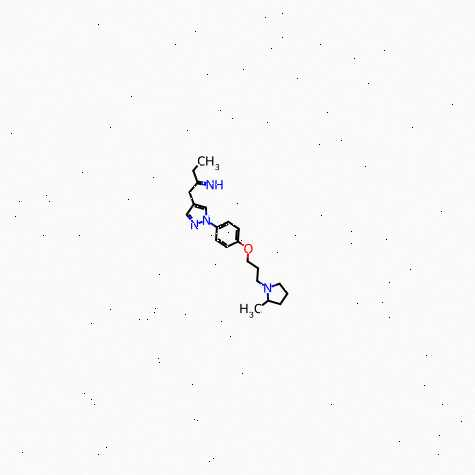 CCC(=N)Cc1cnn(-c2ccc(OCCCN3CCCC3C)cc2)c1